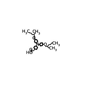 CCCCC(CC)COc1ccc(N(c2ccc(CC(=O)O)cc2)c2ccc(OCC(CC)CCCC)cc2)cc1